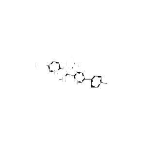 CCS(=O)(=O)c1cc(-c2ccc(F)cc2)cnc1C(=NO)Nc1ccc(C(F)(F)F)cn1